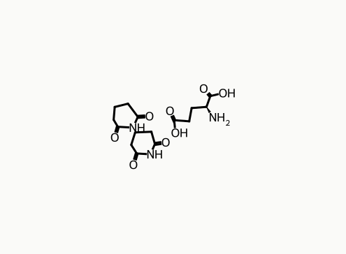 N[C@@H](CCC(=O)O)C(=O)O.O=C1CCCC(=O)N1.O=C1CCCC(=O)N1